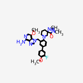 COc1ccc(-c2ccc(N3CCCC(N)(C(=O)N(C)C)C3)c(Cn3cnc4c(N)ncc(OC)c43)c2)cc1F